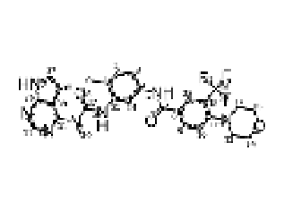 Cc1ccc(NC(=O)c2ccc(N3CCOCC3)c(C(F)(F)F)c2)cc1NC(=O)N(C)c1ncnc2[nH]ccc12